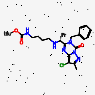 Cc1nn2c(=O)n(Cc3ccccc3)c([C@H](NCCCCNC(=O)OC(C)(C)C)C(C)C)nc2c1Cl